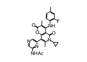 CC(=O)Nc1cncc(-c2c(C)n(C3CC3)c(=O)c3c(Nc4ccc(C)cc4F)c(C)c(=O)oc23)n1